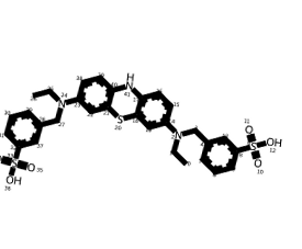 CCN(Cc1cccc(S(=O)(=O)O)c1)c1ccc2c(c1)Sc1cc(N(CC)Cc3cccc(S(=O)(=O)O)c3)ccc1N2